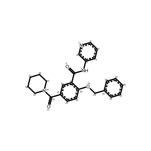 O=C(Nc1cccnc1)c1cc(C(=O)N2CCCCC2)ccc1OCc1ccccc1